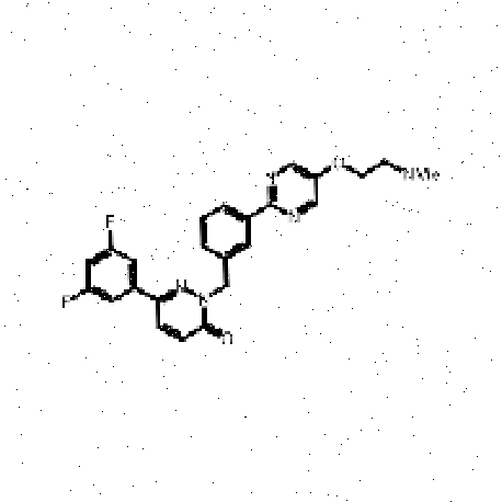 CNCCOc1cnc(-c2cccc(Cn3nc(-c4cc(F)cc(F)c4)ccc3=O)c2)nc1